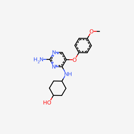 COc1ccc(Oc2cnc(N)nc2NC2CCC(O)CC2)cc1